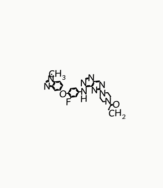 C=CC(=O)N1CCN(c2ncc3ncnc(Nc4ccc(Oc5ccc6c(c5)ncn6C)c(F)c4)c3n2)CC1